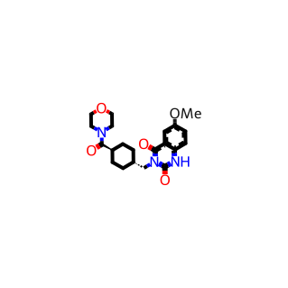 COc1ccc2[nH]c(=O)n(C[C@H]3CC[C@H](C(=O)N4CCOCC4)CC3)c(=O)c2c1